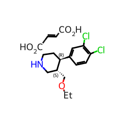 CCOC[C@@H]1CNCC[C@H]1c1ccc(Cl)c(Cl)c1.O=C(O)C=CC(=O)O